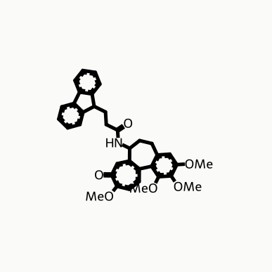 COc1cc2c(c(OC)c1OC)-c1ccc(OC)c(=O)cc1C(NC(=O)CCC1c3ccccc3-c3ccccc31)CC2